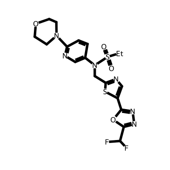 CCS(=O)(=O)N(Cc1ncc(-c2nnc(C(F)F)o2)s1)c1ccc(N2CCOCC2)nc1